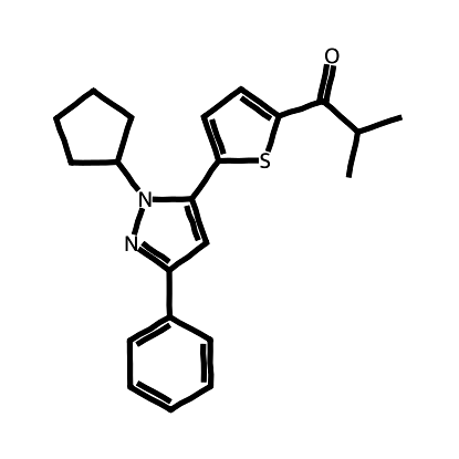 CC(C)C(=O)c1ccc(-c2cc(-c3ccccc3)nn2C2CCCC2)s1